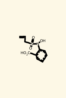 C=CCS(=O)(=O)N(O)c1ccccc1C(=O)O